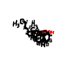 CCCC[C@H]1CC[C@H]2[C@@H]3CC[C@H]4CCCC(O)(O)[C@]4(C)[C@H]3CC[C@]12C